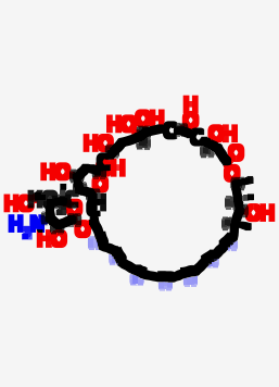 C[C@@H]1[C@H](O)[C@@H](C)/C=C/C=C/C=C/C=C/C=C/C=C/C=C/C(O[C@H]2O[C@@H](C)[C@@H](CO)[C@H](N)[C@@H]2O)C[C@@H]2O[C@](O)(C[C@@H](O)C[C@@H](O)[C@H](O)CC[C@@H](O)C[C@@H](O)CC(=O)O[C@H]1C)C[C@H](O)[C@H]2C(=O)O